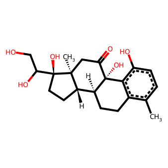 Cc1ccc(O)c2c1CC[C@H]1[C@@H]3CC[C@](O)(C(O)CO)[C@@]3(C)CC(=O)[C@@]21O